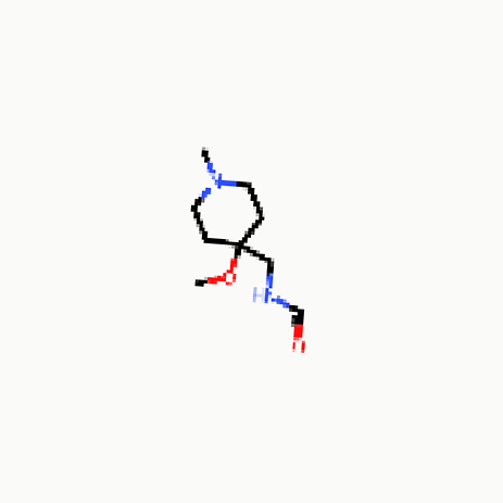 COC1(CNC=O)CCN(C)CC1